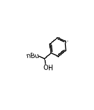 CCCCC(O)c1cc[c]cc1